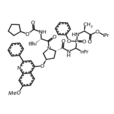 CCCC(NC(=O)[C@@H]1C[C@@H](Oc2cc(-c3ccccc3)nc3cc(OC)ccc23)CN1C(=O)[C@@H](NC(=O)OC1CCCC1)C(C)(C)C)P(=O)(N[C@@H](C)C(=O)OC(C)C)Oc1ccccc1